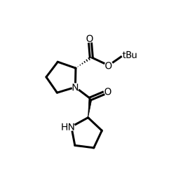 CC(C)(C)OC(=O)[C@H]1CCCN1C(=O)[C@H]1CCCN1